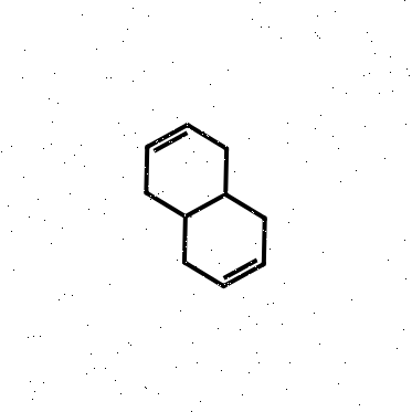 C1=CCC2CC=CC[C]2C1